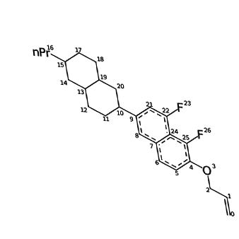 C=CCOc1ccc2cc(C3CCC4CC(CCC)CCC4C3)cc(F)c2c1F